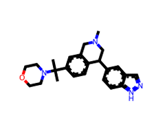 CN1Cc2cc(C(C)(C)N3CCOCC3)ccc2C(c2ccc3[nH]ncc3c2)C1